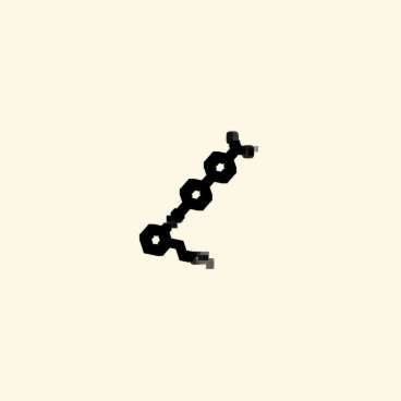 C=CCc1ccccc1[N+]#Cc1ccc(-c2ccc(C(=O)[O-])cc2)cc1